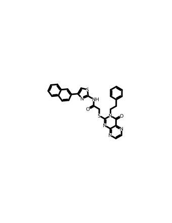 O=C(CSc1nc2nccnc2c(=O)n1CCc1ccccc1)Nc1nc(-c2ccc3ccccc3c2)cs1